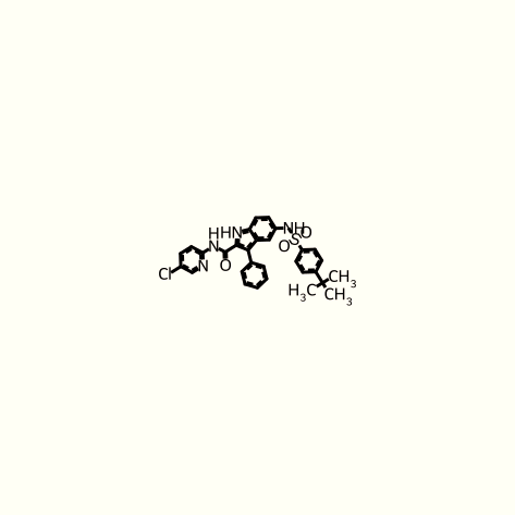 CC(C)(C)c1ccc(S(=O)(=O)Nc2ccc3[nH]c(C(=O)Nc4ccc(Cl)cn4)c(-c4ccccc4)c3c2)cc1